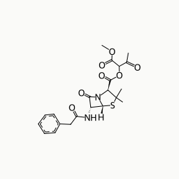 COC(=O)C(OC(=O)[C@@H]1N2C(=O)[C@@H](NC(=O)Cc3ccccc3)[C@H]2SC1(C)C)C(C)=O